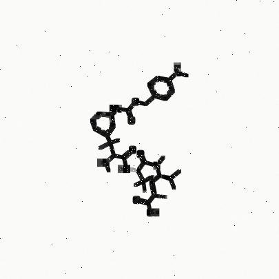 CNc1ccc(COC(=O)Nc2cccc(C(C)(C)C(NC)C(=O)N[C@H](C(=O)N(C)[C@H](/C=C(\C)C(=O)O)C(C)C)C(C)(C)C)c2)cc1